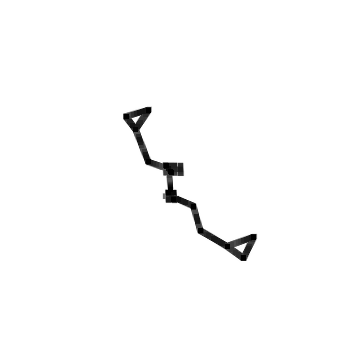 C(CC1CC1)[N]NCC1CC1